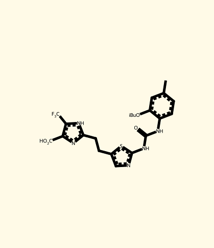 Cc1ccc(NC(=O)Nc2ncc(CCc3nc(C(=O)O)c(C(F)(F)F)[nH]3)s2)c(OCC(C)C)c1